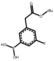 CC(C)(C)OC(=O)Cc1cc(F)cc(B(O)O)c1